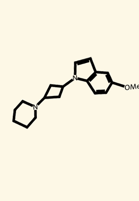 COc1ccc2c(ccn2C2CC(N3CCCCC3)C2)c1